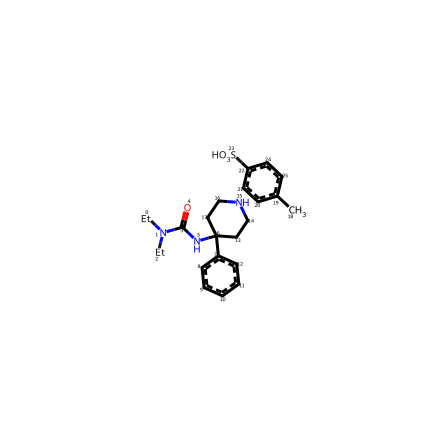 CCN(CC)C(=O)NC1(c2ccccc2)CCNCC1.Cc1ccc(S(=O)(=O)O)cc1